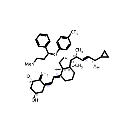 C=C1/C(=C\C=C2/CCC[C@]3(C)[C@@H]([C@H](C)/C=C/[C@@H](O)C4CC4)CC[C@@H]23)C[C@@H](O)C[C@@H]1O.CNCCC(Oc1ccc(C(F)(F)F)cc1)c1ccccc1